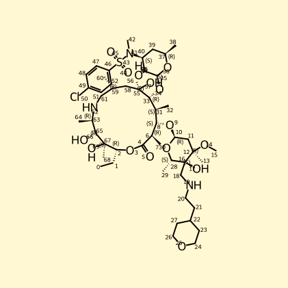 CC[C@H]1OC(=O)[C@H](C)[C@@H](O[C@H]2C[C@@](C)(OC)[C@](O)(CNCCC3CCOCC3)[C@H](C)O2)[C@H](C)[C@@H](O[C@@H]2O[C@H](C)C[C@H](N(C)S(=O)(=O)c3ccc(Cl)cc3)[C@H]2O)[C@](C)(O)C[C@@H](C)CN[C@H](C)[C@@H](O)[C@]1(C)O